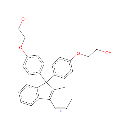 C/C=C\C1=C(C)C(c2ccc(OCCO)cc2)(c2ccc(OCCO)cc2)c2ccccc21